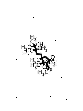 CCCC1([CH]C(C)(CCC(C)(C)C(C)(C)C)C(C)(C)C)OO1